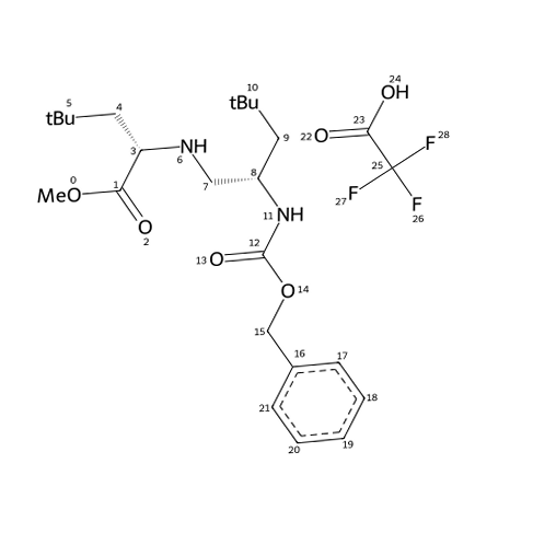 COC(=O)[C@H](CC(C)(C)C)NC[C@H](CC(C)(C)C)NC(=O)OCc1ccccc1.O=C(O)C(F)(F)F